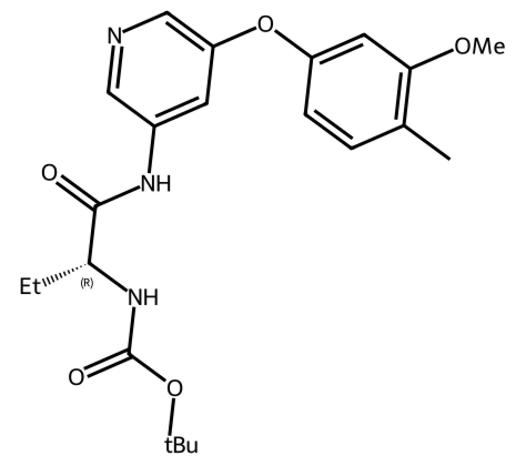 CC[C@@H](NC(=O)OC(C)(C)C)C(=O)Nc1cncc(Oc2ccc(C)c(OC)c2)c1